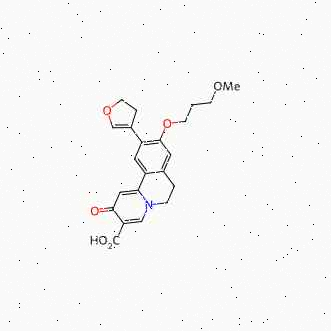 COCCCOc1cc2c(cc1C1=COCC1)-c1cc(=O)c(C(=O)O)cn1CC2